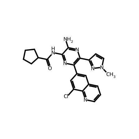 Cn1ccc(-c2nc(N)c(NC(=O)C3CCCC3)nc2-c2cc(Cl)c3ncccc3c2)n1